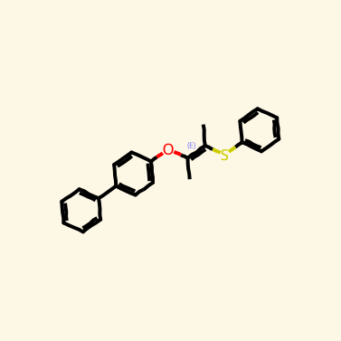 C/C(Oc1ccc(-c2ccccc2)cc1)=C(/C)Sc1ccccc1